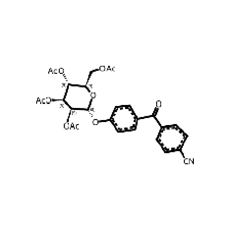 CC(=O)OC[C@H]1O[C@H](Oc2ccc(C(=O)c3ccc(C#N)cc3)cc2)[C@@H](OC(C)=O)[C@@H](OC(C)=O)[C@@H]1OC(C)=O